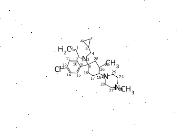 C=CCN(CC1CC1)C1(c2ccc(Cl)cc2)CCC(N2CCN(C)CC2)C(C)C1